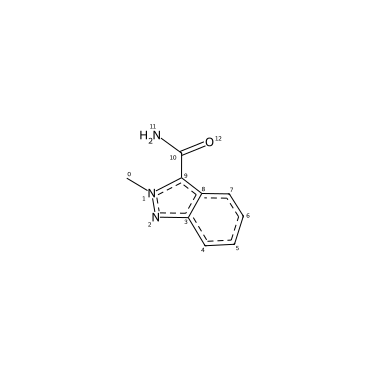 Cn1nc2ccccc2c1C(N)=O